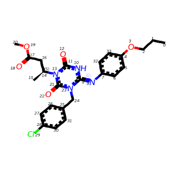 CCCOc1ccc(/N=c2\[nH]c(=O)n([C@@H](C)CC(=O)OC)c(=O)n2Cc2ccc(Cl)cc2)cc1